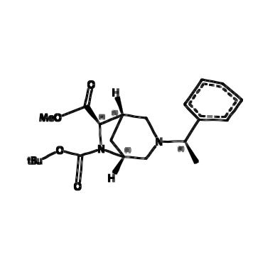 COC(=O)[C@H]1[C@H]2C[C@H](CN([C@H](C)c3ccccc3)C2)N1C(=O)OC(C)(C)C